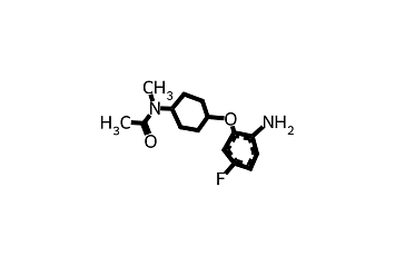 CC(=O)N(C)C1CCC(Oc2cc(F)ccc2N)CC1